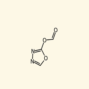 O=COc1nnco1